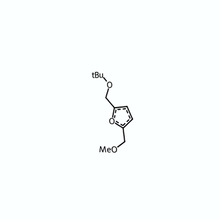 COCc1ccc(COC(C)(C)C)o1